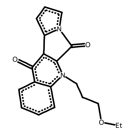 CCOCCCn1c2c(c(=O)c3ccccc31)-c1cccn1C2=O